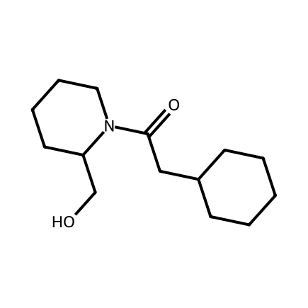 O=C(CC1CCCCC1)N1CCCCC1CO